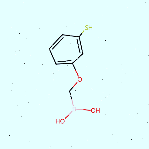 OB(O)COc1cccc(S)c1